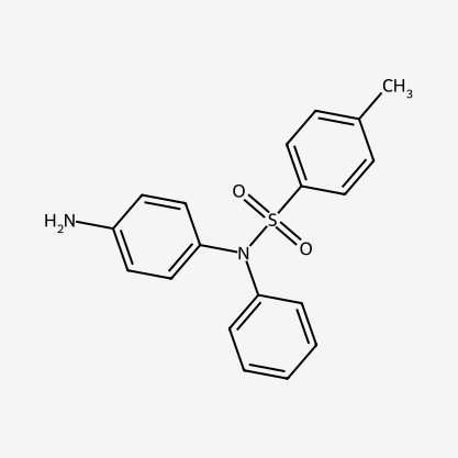 Cc1ccc(S(=O)(=O)N(c2ccccc2)c2ccc(N)cc2)cc1